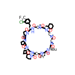 CC[C@H](C)[C@@H]1NC(=O)[C@H](CC(C)C)N(C)C(=O)C[C@@H](C(=O)N2CCCCC2)N(C)C(=O)[C@H](C2CCC2)N(C)C(=O)C2(CCCC2)NC(=O)[C@@H]2CCCN2C(=O)[C@H](CCc2ccc(C(F)(F)F)c(Cl)c2)NC(=O)CN(C)C(=O)[C@H](CC2CCCCC2)N(C)C(=O)CN(C)C(=O)CN(C)C1=O